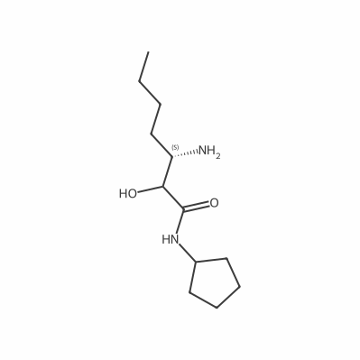 CCCC[C@H](N)C(O)C(=O)NC1CCCC1